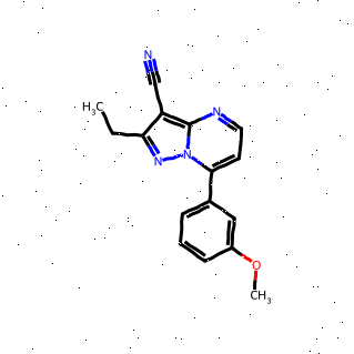 CCc1nn2c(-c3cccc(OC)c3)ccnc2c1C#N